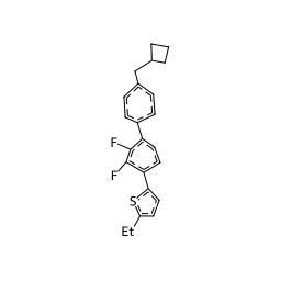 CCc1ccc(-c2ccc(-c3ccc(CC4CCC4)cc3)c(F)c2F)s1